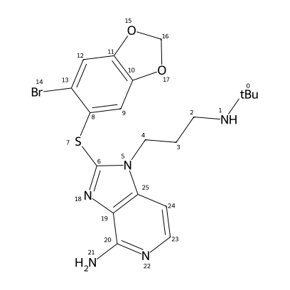 CC(C)(C)NCCCn1c(Sc2cc3c(cc2Br)OCO3)nc2c(N)nccc21